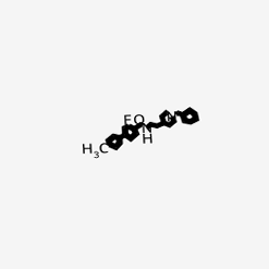 Cc1ccc(-c2ccc(C(=O)NCCC3CCN(Cc4ccccc4)CC3)c(F)c2)cc1